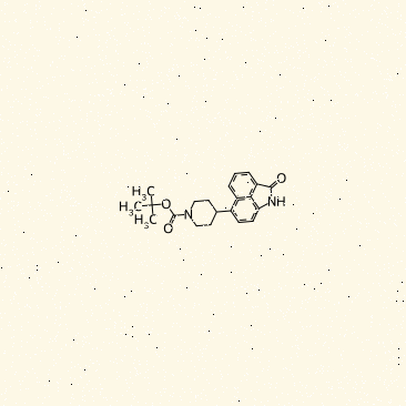 CC(C)(C)OC(=O)N1CCC(c2ccc3c4c(cccc24)C(=O)N3)CC1